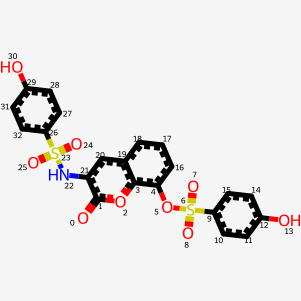 O=c1oc2c(OS(=O)(=O)c3ccc(O)cc3)cccc2cc1NS(=O)(=O)c1ccc(O)cc1